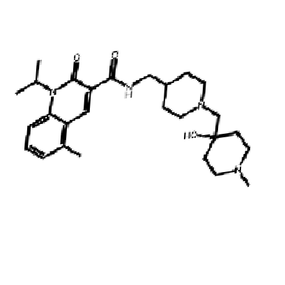 Cc1cccc2c1cc(C(=O)NCC1CCN(CC3(O)CCN(C)CC3)CC1)c(=O)n2C(C)C